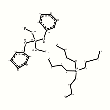 CCCC[N+](CCCC)(CCCC)CCCC.FO[Si](OF)(Oc1ccccc1)Oc1ccccc1